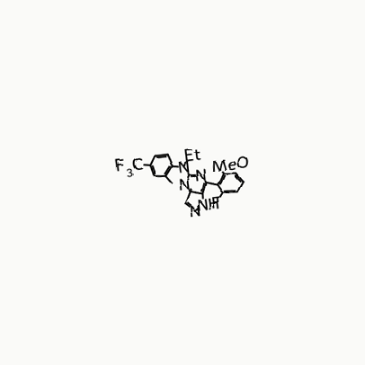 CCN(c1nc(-c2c(F)cccc2OC)c2[nH]ncc2n1)c1ccc(C(F)(F)F)cc1C